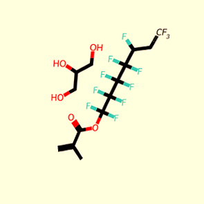 C=C(C)C(=O)OC(F)(F)C(F)(F)C(F)(F)C(F)(F)C(F)CC(F)(F)F.OCC(O)CO